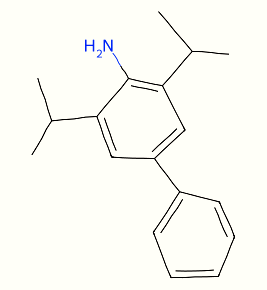 CC(C)c1cc(-c2ccccc2)cc(C(C)C)c1N